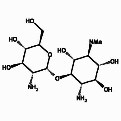 CN[C@H]1[C@H](O)[C@@H](O)[C@H](N)[C@@H](O[C@H]2O[C@H](CO)[C@@H](O)[C@H](O)[C@H]2N)[C@@H]1O